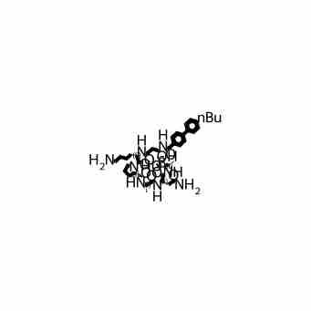 CCCCc1ccc(-c2ccc(C(=O)NCCC(=O)N[C@@H](CCCCN)C(=O)N3CCC[C@H]3C(=O)N[C@@H](C)C(=O)N[C@@H](CC(N)=O)C(=O)N[C@@H](C)B(O)O)cc2)cc1